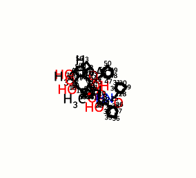 CC(=O)O[C@@]12CC[C@@H]1C[C@H](O)[C@@]1(C)C(=O)[C@H](O)C3=C(C)[C@@H](OC(=O)[C@H](O)[C@@H](NC(=O)c4ccccc4)c4ccccc4)C[C@@](O)([C@@H](OC(=O)c4ccccc4)[C@H]21)C3(C)C